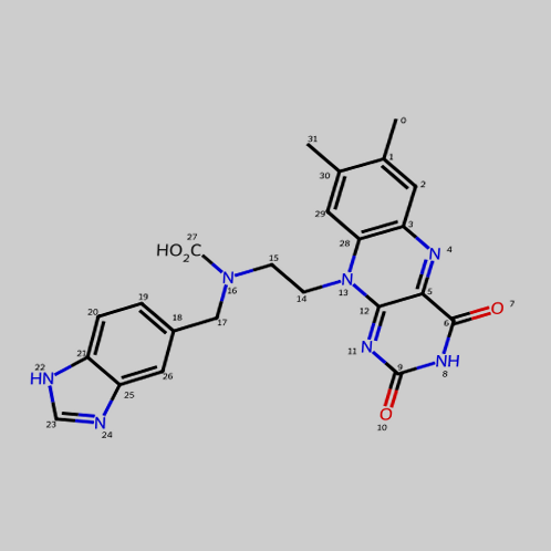 Cc1cc2nc3c(=O)[nH]c(=O)nc-3n(CCN(Cc3ccc4[nH]cnc4c3)C(=O)O)c2cc1C